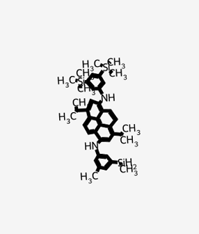 C[SiH2]c1cc(C)cc(Nc2cc(C(C)C)c3ccc4c(Nc5cc([Si](C)(C)C)cc([Si](C)(C)C)c5)cc(C(C)C)c5ccc2c3c45)c1